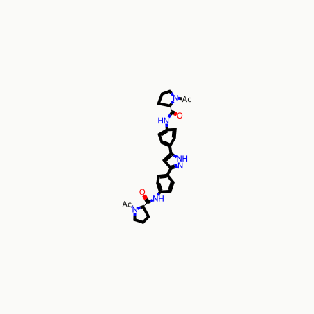 CC(=O)N1CCC[C@H]1C(=O)Nc1ccc(-c2cc(-c3ccc(NC(=O)[C@@H]4CCCN4C(C)=O)cc3)[nH]n2)cc1